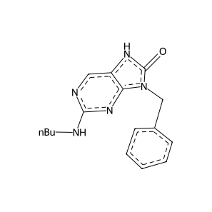 CCCCNc1ncc2[nH]c(=O)n(Cc3ccccc3)c2n1